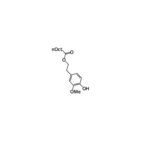 CCCCCCCCC(=O)OCCc1ccc(O)c(OC)c1